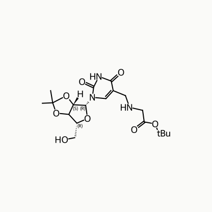 CC(C)(C)OC(=O)CNCc1cn([C@@H]2O[C@H](CO)C3OC(C)(C)O[C@@H]32)c(=O)[nH]c1=O